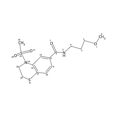 COCCCNC(=O)c1ccc2c(c1)N(S(C)(=O)=O)CCS2